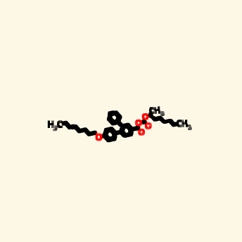 CCCCCCCCOc1ccc(-c2ccc(C(=O)OC(=O)OC(C)CCCCCC)cc2-c2ccccc2)cc1